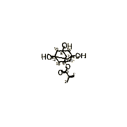 C=C(C)C(=O)OC12CC3(O)CC(O)(CC(O)(C3)C1)C2